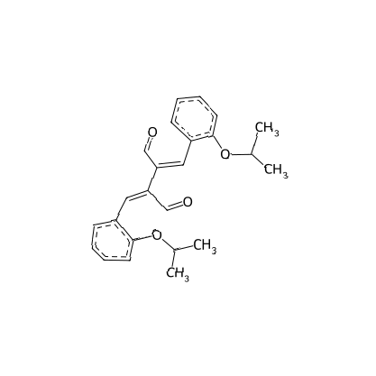 CC(C)Oc1ccccc1/C=C(C=O)/C(C=O)=C/c1ccccc1OC(C)C